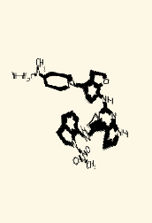 CN(C)C1CCN(c2ccc(Nc3nc(Nc4cccc5c4N(S(C)(=O)=O)CC5)c4cc[nH]c4n3)c3c2CCO3)CC1